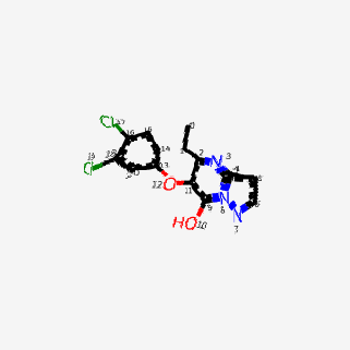 CCc1nc2ccnn2c(O)c1Oc1ccc(Cl)c(Cl)c1